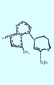 CCOC(=O)C1=CN(c2ccnc3[nH]cc(C)c23)CCS1